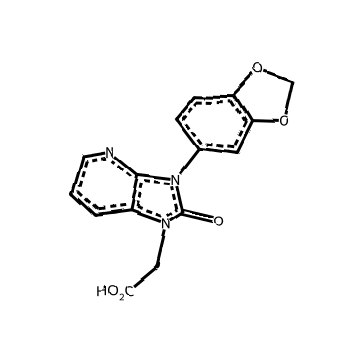 O=C(O)Cn1c(=O)n(-c2ccc3c(c2)OCO3)c2ncccc21